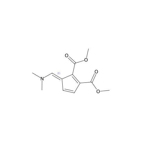 COC(=O)C1=C(C(=O)OC)/C(=C/N(C)C)C=C1